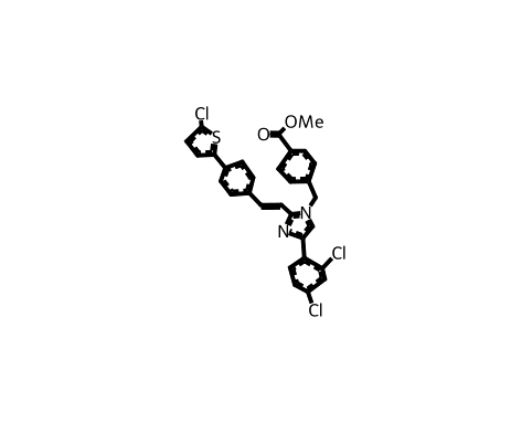 COC(=O)c1ccc(Cn2cc(-c3ccc(Cl)cc3Cl)nc2C=Cc2ccc(-c3ccc(Cl)s3)cc2)cc1